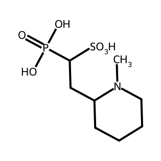 CN1CCCCC1CC(P(=O)(O)O)S(=O)(=O)O